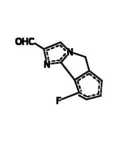 O=Cc1cn2c(n1)-c1c(F)cccc1C2